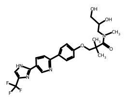 CN(CC(O)CO)C(=O)C(C)(C)COc1ccc(-c2ccc(-c3nc(C(F)(F)F)c[nH]3)cn2)cc1